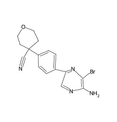 N#CC1(c2ccc(-c3cnc(N)c(Br)n3)cc2)CCOCC1